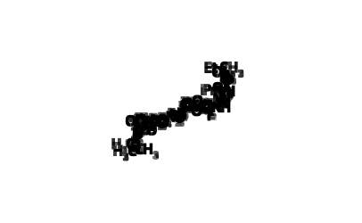 CCOC(C)n1cc(-c2ncn3nc(Nc4ccc(S(=O)(=O)c5cccc(N6CCC7C6CN7c6ccc7c(c6)CN(C6CCC(=O)N(COCC[Si](C)(C)C)C6=O)C7=O)c5)cc4F)nc3c2OC(C)C)cn1